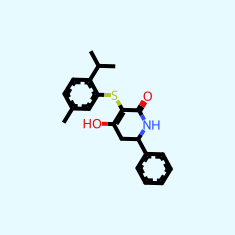 Cc1ccc(C(C)C)c(SC2=C(O)CC(c3ccccc3)NC2=O)c1